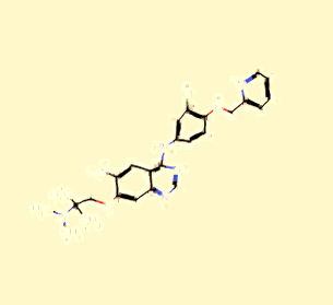 CN(C)C(C)(C)COc1cc2ncnc(Nc3ccc(OCc4ccccn4)c(Cl)c3)c2cc1[N+](=O)[O-]